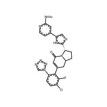 CC(=O)Nc1cc(-c2cnc([C@@H]3CCC4CC(c5c(-n6cnnn6)ccc(Cl)c5F)=CC(=O)N43)[nH]2)ccn1